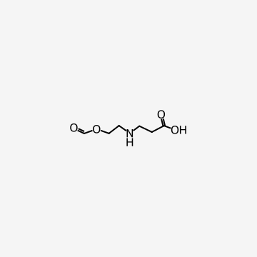 O=COCCNCCC(=O)O